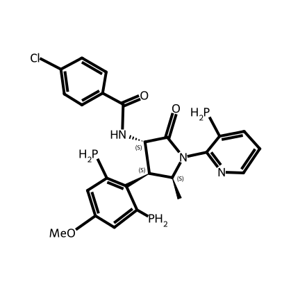 COc1cc(P)c([C@H]2[C@H](NC(=O)c3ccc(Cl)cc3)C(=O)N(c3ncccc3P)[C@H]2C)c(P)c1